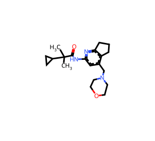 CC(C)(C(=O)Nc1cc(CN2CCOCC2)c2c(n1)CCC2)C1CC1